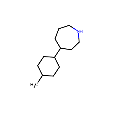 CC1CCC(C2CCCNCC2)CC1